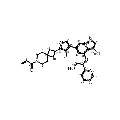 C=CC(=O)N1CCC2(CC1)CC(n1ncc(-c3cc(OC(CO)c4ccccn4)c4c(Cl)cnn4c3)c1C)C2